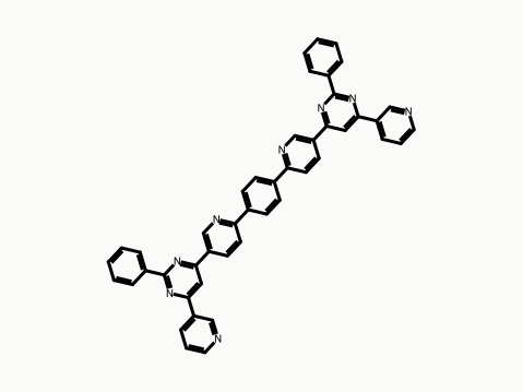 c1ccc(-c2nc(-c3cccnc3)cc(-c3ccc(-c4ccc(-c5ccc(-c6cc(-c7cccnc7)nc(-c7ccccc7)n6)cn5)cc4)nc3)n2)cc1